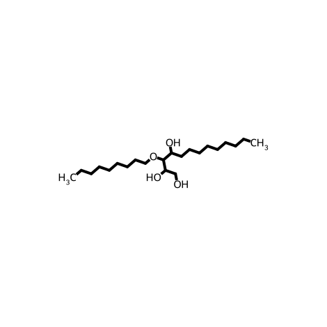 CCCCCCCCCOC(C(O)CO)C(O)CCCCCCCCC